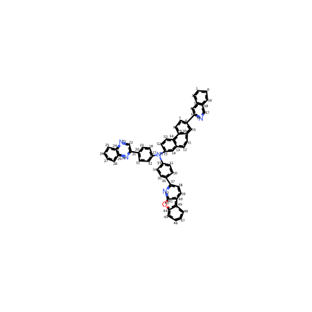 c1ccc2cc(-c3ccc4c(ccc5cc(N(c6ccc(-c7cnc8ccccc8n7)cc6)c6ccc(-c7ccc8c(n7)oc7ccccc78)cc6)ccc54)c3)ncc2c1